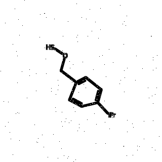 CC(C)c1ccc(COS)cc1